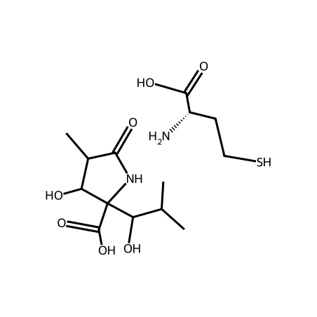 CC(C)C(O)C1(C(=O)O)NC(=O)C(C)C1O.N[C@@H](CCS)C(=O)O